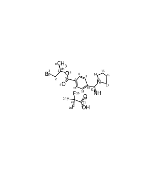 C[C@H](CBr)OC(=O)c1ccc(C(=N)N2CCCC2)cc1.O=C(O)C(F)(F)F